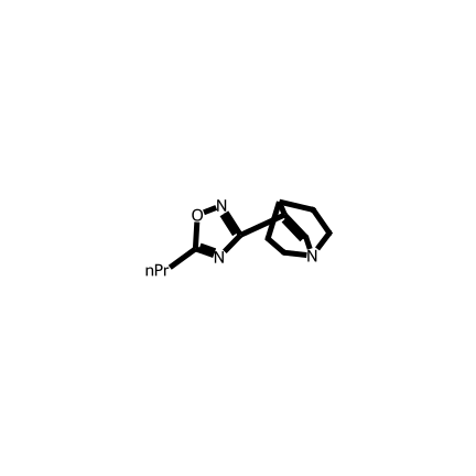 CCCc1nc(C2=CN3CCC2CC3)no1